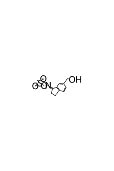 CS(=O)(=O)O/N=C1\CCc2ccc(CO)cc21